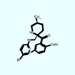 COc1ccc(F)cc1C(=O)[C@@]1(CNc2ccc(Br)cn2)CC[C@H](C)CN1